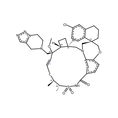 CO[C@@]1(CN2CCn3nncc3C2)/C=C/C[C@H](C)[C@@H](C)S(=O)(=O)NC(=O)c2ccc3c(c2)N(C[C@@H]2CC[C@H]21)C[C@@]1(CCCc2cc(Cl)ccc21)CO3